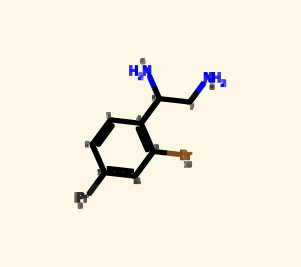 CC(C)c1ccc(C(N)CN)c(Br)c1